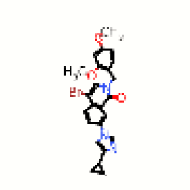 COc1ccc(Cn2cc(Br)c3ccc(-n4cnc(C5CC5)c4)cc3c2=O)c(OC)c1